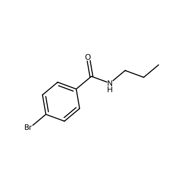 CCCNC(=O)c1ccc(Br)cc1